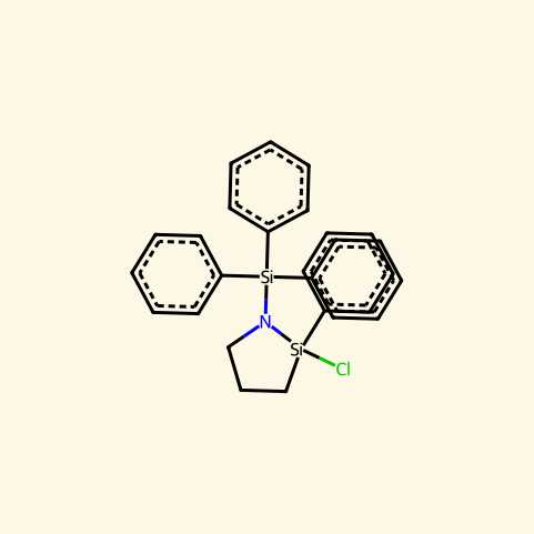 Cl[Si]1(c2ccccc2)CCCN1[Si](c1ccccc1)(c1ccccc1)c1ccccc1